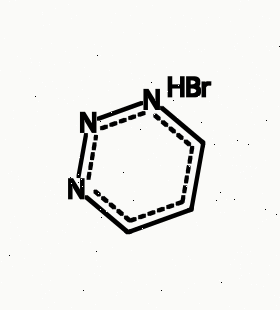 Br.c1cnnnc1